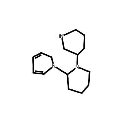 C1=CCN(C2CCCCN2C2CCCNC2)C=C1